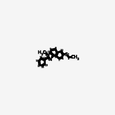 CCSc1ccc2c(ccc3c2nc(-c2ccccc2)n3C)c1